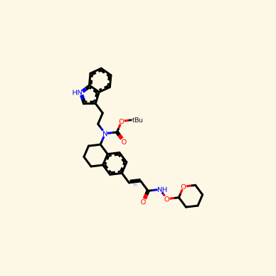 CC(C)(C)OC(=O)N(CCc1c[nH]c2ccccc12)C1CCCc2cc(/C=C/C(=O)NOC3CCCCO3)ccc21